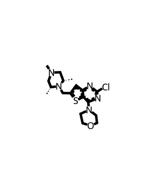 C[C@@H]1CN(C)C[C@H](C)N1Cc1cc2nc(Cl)nc(N3CCOCC3)c2s1